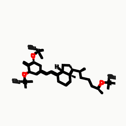 C=C1[C@H](O[Si](C)(C)C(C)(C)C)CC(=C/C=C2\CCC[C@]3(C)[C@@H]([C@@H](C)CCC[C@H](C)O[Si](C)(C)C(C)(C)C)CC[C@@H]23)C[C@H]1O[Si](C)(C)C(C)(C)C